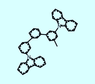 Cc1cc(-c2cccc(-c3cccc(-n4c5ccccc5c5ccccc54)c3)c2)cc(-n2c3ccccc3c3ccccc32)c1